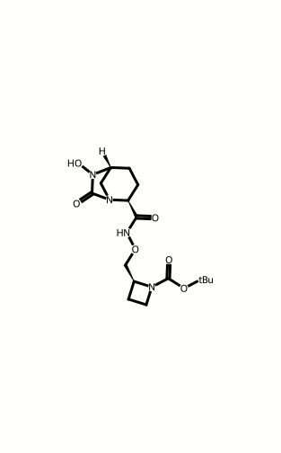 CC(C)(C)OC(=O)N1CC[C@H]1CONC(=O)[C@@H]1CC[C@@H]2CN1C(=O)N2O